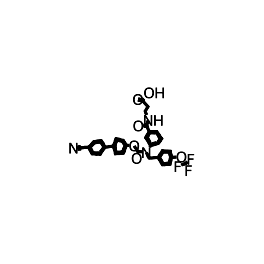 N#Cc1ccc(-c2ccc(OC(=O)N(Cc3ccc(OC(F)(F)F)cc3)c3cccc(C(=O)NCCC(=O)O)c3)cc2)cc1